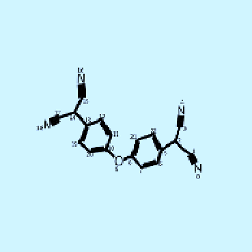 N#CC(C#N)c1ccc(Oc2ccc(C(C#N)C#N)cc2)cc1